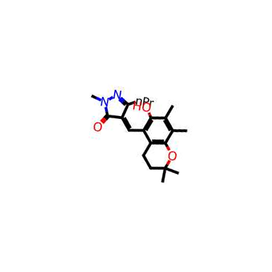 CCCC1=NN(C)C(=O)C1=Cc1c(O)c(C)c(C)c2c1CCC(C)(C)O2